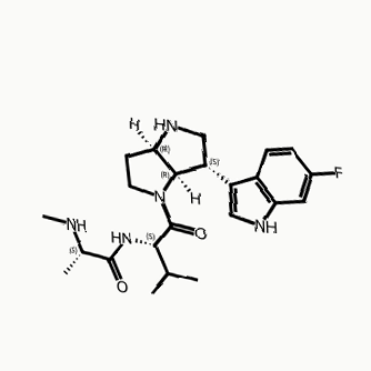 CN[C@@H](C)C(=O)N[C@H](C(=O)N1CC[C@H]2NC[C@H](c3c[nH]c4cc(F)ccc34)[C@H]21)C(C)C